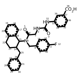 O=C(NCC(=O)N(Cc1ccc(F)cc1)C1c2ccccc2CCC1Cc1ccccc1)Nc1cccc(C(=O)O)c1